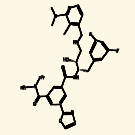 CCCN(CCC)C(=O)c1cc(C(=O)N[C@@H](Cc2cc(F)cc(F)c2)[C@H](O)CNCc2ccnc(N(C)C)c2C)cc(-c2ncco2)c1